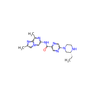 CC[C@@H]1CN(c2cnc(C(=O)Nc3cn4cc(C)nc4c(C)n3)cn2)CCN1